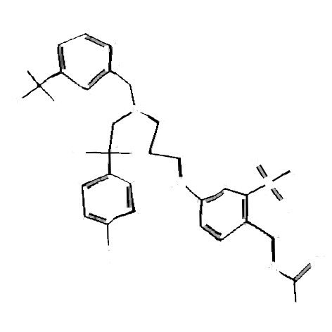 CC(=O)NCc1ccc(OCCCN(Cc2cccc(C(F)(F)F)c2)CC(F)(F)c2ccc(F)cc2)cc1S(C)(=O)=O